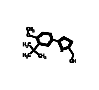 COc1ccc(-c2ccc(CO)s2)cc1C(C)(C)C